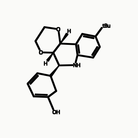 CC(C)(C)c1ccc2c(c1)[C@H]1OCCO[C@H]1[C@H](C1C=CC=C(O)C1)N2